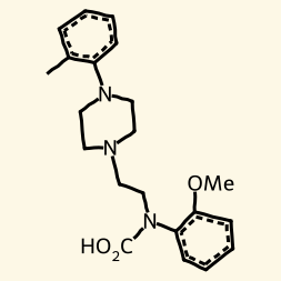 COc1ccccc1N(CCN1CCN(c2ccccc2C)CC1)C(=O)O